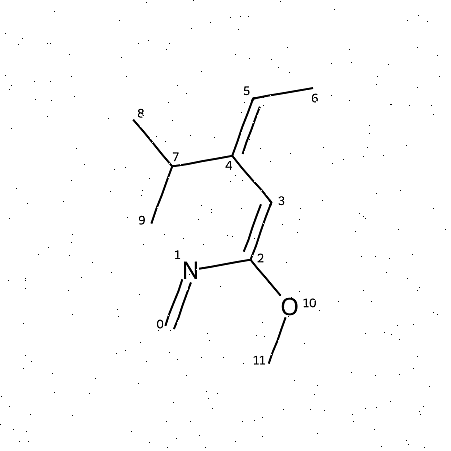 C=N/C(=C\C(=C/C)C(C)C)OC